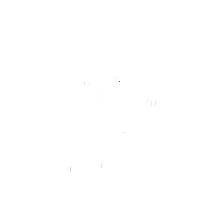 CO[Si](CCC(F)(F)F)(OC)N1C(C)CCCC1C